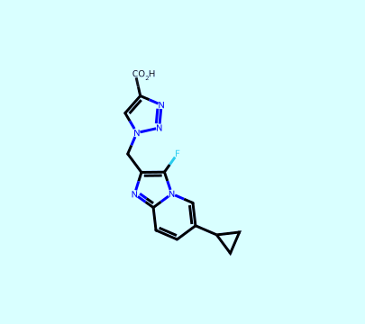 O=C(O)c1cn(Cc2nc3ccc(C4CC4)cn3c2F)nn1